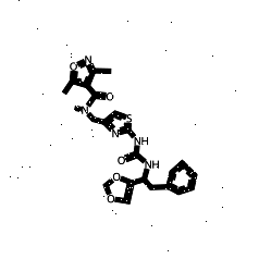 Cc1noc(C)c1C(=O)N(C)Cc1csc(NC(=O)NC(Cc2ccccc2)C2=COCO2)n1